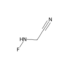 N#CCNF